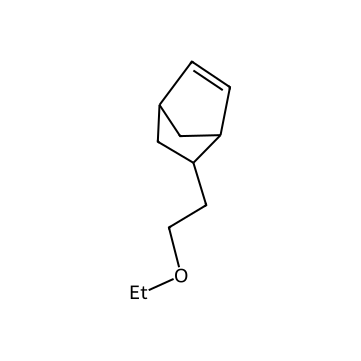 CCOCCC1CC2C=CC1C2